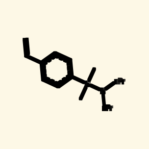 C=Cc1ccc([Si](C)(C)N(CCC)CCC)cc1